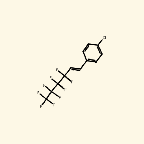 FC(F)(F)C(F)(F)C(F)(F)C(F)(F)C=Cc1ccc(Cl)cc1